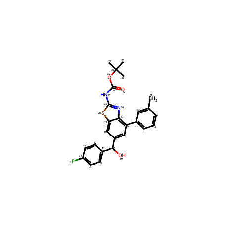 Bc1cccc(-c2cc(C(O)c3ccc(F)cc3)cc3sc(NC(=O)OC(C)(C)C)nc23)c1